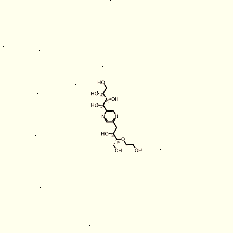 OCCO[C@H](CO)[C@@H](O)Cc1cnc([C@@H](O)[C@H](O)[C@H](O)CO)cn1